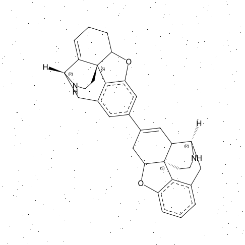 C1=C(c2cc3c4c(c2)OC2CCC=C5[C@@H](C3)NCC[C@]542)CC2Oc3cccc4c3[C@@]23CCN[C@H](C4)C13